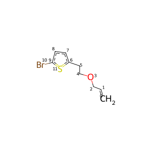 C=CCOCCc1ccc(Br)s1